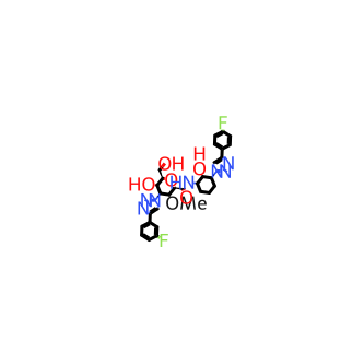 CO[C@@H]1[C@@H](n2cc(-c3cccc(F)c3)nn2)[C@@H](O)[C@@H](CO)O[C@H]1C(=O)N[C@@H]1CCC[C@H](n2cc(-c3ccc(F)cc3)nn2)[C@H]1O